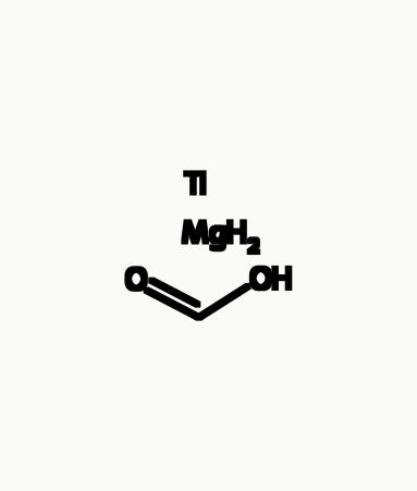 O=CO.[MgH2].[Ti]